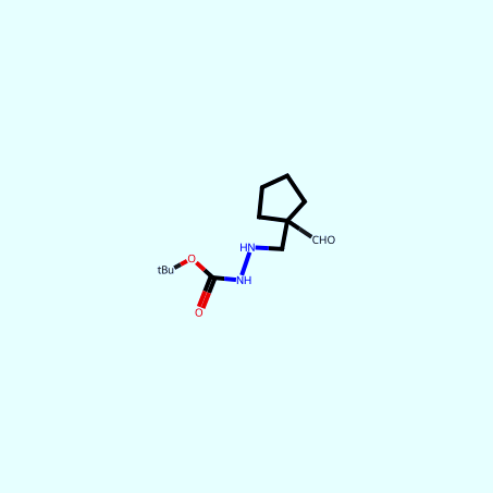 CC(C)(C)OC(=O)NNCC1(C=O)CCCC1